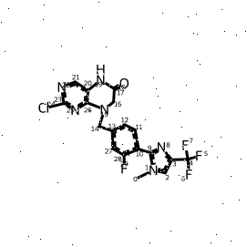 Cn1cc(C(F)(F)F)nc1-c1ccc(CN2CC(=O)Nc3cnc(Cl)nc32)cc1F